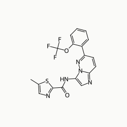 Cc1cnc(C(=O)Nc2cnc3ccc(-c4ccccc4OC(F)(F)F)nn23)s1